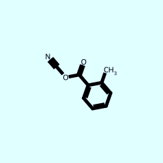 Cc1ccccc1C(=O)OC#N